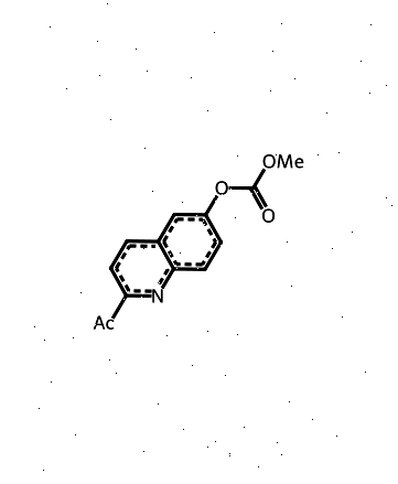 COC(=O)Oc1ccc2nc(C(C)=O)ccc2c1